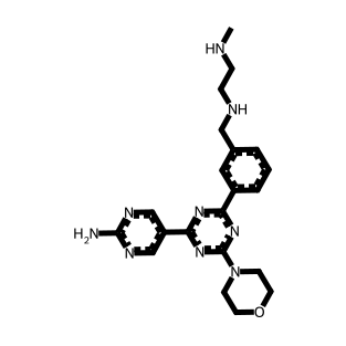 CNCCNCc1cccc(-c2nc(-c3cnc(N)nc3)nc(N3CCOCC3)n2)c1